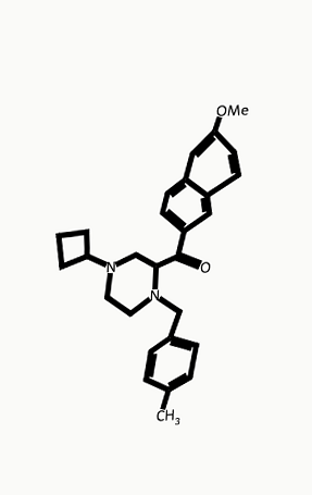 COc1ccc2cc(C(=O)C3CN(C4CCC4)CCN3Cc3ccc(C)cc3)ccc2c1